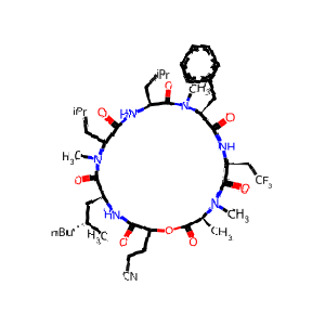 CCCC[C@@H](C)C[C@@H]1NC(=O)C(CCC#N)OC(=O)[C@H](C)N(C)C(=O)[C@H](CC(F)(F)F)NC(=O)[C@H](Cc2ccccc2)N(C)C(=O)C(CC(C)C)NC(=O)C(CC(C)C)N(C)C1=O